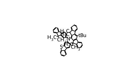 CC(C)(C)c1c2c(c(N(c3ccc4c(c3)C(C)(C)c3ccccc3-4)c3ccc4c(c3)sc3ccccc34)c3c1-c1ccccc1C3(C)C)C(C)(C)c1ccccc1-2